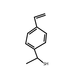 C=Cc1ccc(C(C)S)cc1